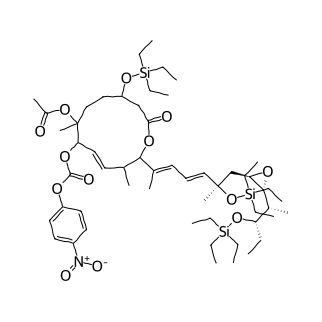 CC[C@H](O[Si](CC)(CC)CC)[C@@H](C)[C@H]1O[C@@H]1C[C@](C)(/C=C/C=C(\C)C1OC(=O)CC(O[Si](CC)(CC)CC)CCC(C)(OC(C)=O)C(OC(=O)Oc2ccc([N+](=O)[O-])cc2)/C=C/C1C)O[Si](CC)(CC)CC